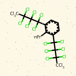 CC[CH]c1c(C(Cl)(Cl)C(Cl)(Cl)C(Cl)(Cl)C(Cl)(Cl)Cl)cccc1C(Cl)(Cl)C(Cl)(Cl)C(Cl)(Cl)C(Cl)(Cl)Cl